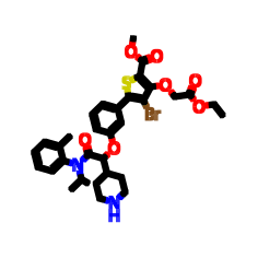 CCOC(=O)COc1c(C(=O)OC)sc(-c2cccc(OC(C(=O)N(c3ccccc3C)C(C)C)C3CCNCC3)c2)c1Br